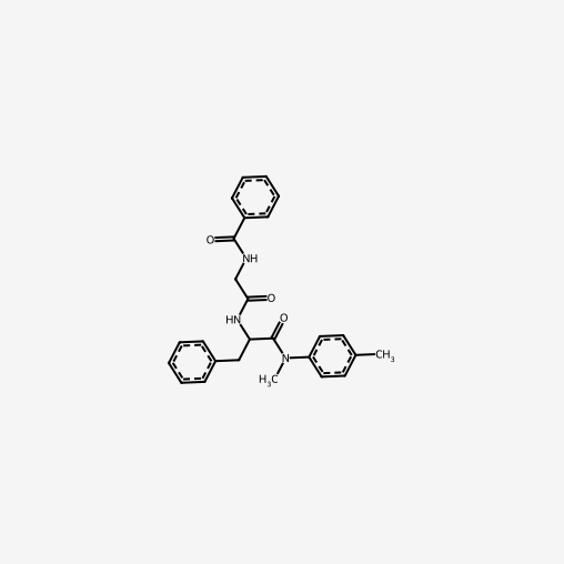 Cc1ccc(N(C)C(=O)C(Cc2ccccc2)NC(=O)CNC(=O)c2ccccc2)cc1